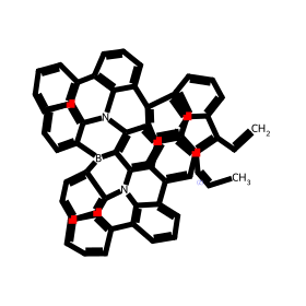 C=Cc1c(/C=C\C)n(-c2cc3c4c(c2)N(c2c(-c5ccccc5)cccc2-c2ccccc2)c2ccccc2B4c2ccccc2N3c2c(-c3ccccc3)cccc2-c2ccccc2)c2ccccc12